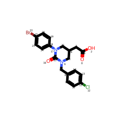 O=C(O)CC1CN(Cc2ccc(Cl)cc2)C(=O)N(c2ccc(Br)cc2)C1